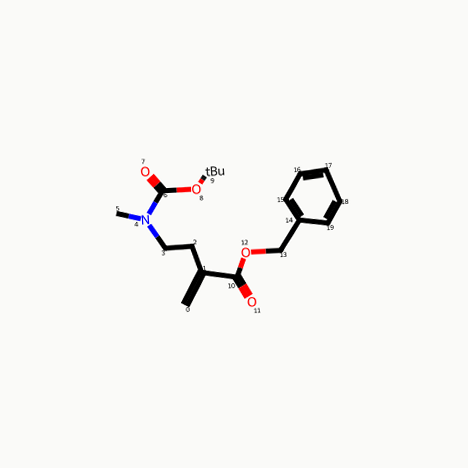 C=C(CCN(C)C(=O)OC(C)(C)C)C(=O)OCc1ccccc1